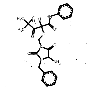 CC(C)(C)C(=O)C(Cl)(OCN1C(=O)C(N)N(Cc2ccccc2)C1=O)C(=O)Nc1ccccc1